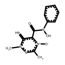 Cc1nn(C)c(=N)c(C(=O)N(O)c2ccccc2)[n+]1[O-]